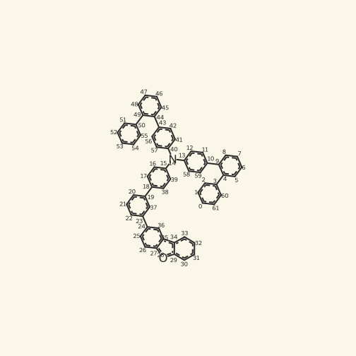 c1ccc(-c2ccccc2-c2ccc(N(c3ccc(-c4cccc(-c5ccc6oc7ccccc7c6c5)c4)cc3)c3ccc(-c4ccccc4-c4ccccc4)cc3)cc2)cc1